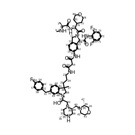 CN[C@@H](C)C(=O)N[C@H](C(=O)N1Cc2ccc(NC(=O)CC(=O)NCCCC3(C)CN(C(O)CN4C[C@@H](C)NC[C@@H]4CN4CCOC[C@H]4C)c4cc(Cc5ccc(F)cc5)ccc43)cc2[C@H]1C(=O)Nc1c(F)cccc1F)C1CCOCC1